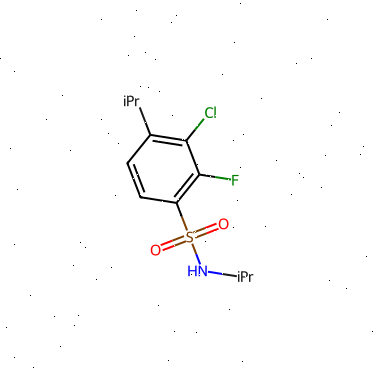 CC(C)NS(=O)(=O)c1ccc(C(C)C)c(Cl)c1F